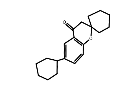 O=C1CC2(CCCCC2)Oc2ccc(C3CCCCC3)cc21